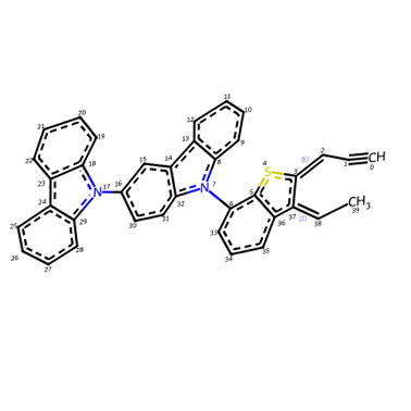 C#C/C=c1/sc2c(-n3c4ccccc4c4cc(-n5c6ccccc6c6ccccc65)ccc43)cccc2/c1=C/C